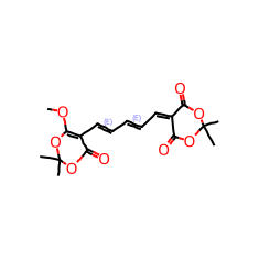 COC1=C(/C=C/C=C/C=C2C(=O)OC(C)(C)OC2=O)C(=O)OC(C)(C)O1